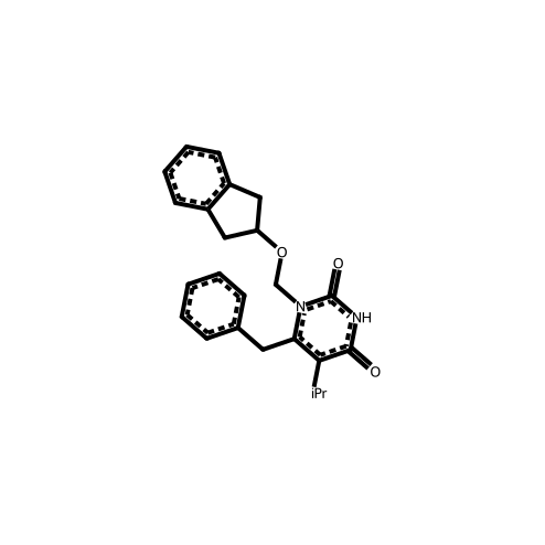 CC(C)c1c(Cc2ccccc2)n(COC2Cc3ccccc3C2)c(=O)[nH]c1=O